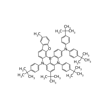 Cc1ccc2oc3c4c(ccc3c2c1)N(c1ccc(C(C)(C)C)cc1)c1cc(C(C)(C)C)cc2c1B4c1ccc(N(c3ccc(C(C)(C)C)cc3)c3ccc(C(C)(C)C)cc3)cc1N2c1ccc(C(C)(C)C)cc1